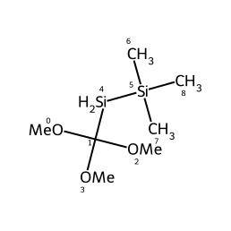 COC(OC)(OC)[SiH2][Si](C)(C)C